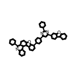 c1ccc(-c2nc(-c3ccc(-c4cccc5c4oc4ccc6c(-c7ccccc7)nc7ccccc7c6c45)cc3)cc(-c3ccc4c(c3)oc3ccccc34)n2)cc1